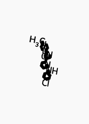 CN1CCN(c2ncc(-c3cccc(Nc4ccc(Cl)cc4)n3)o2)CC1